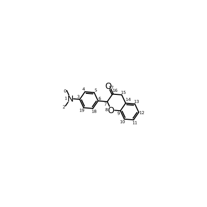 CN(C)c1ccc(C2Oc3ccccc3CC2=O)cc1